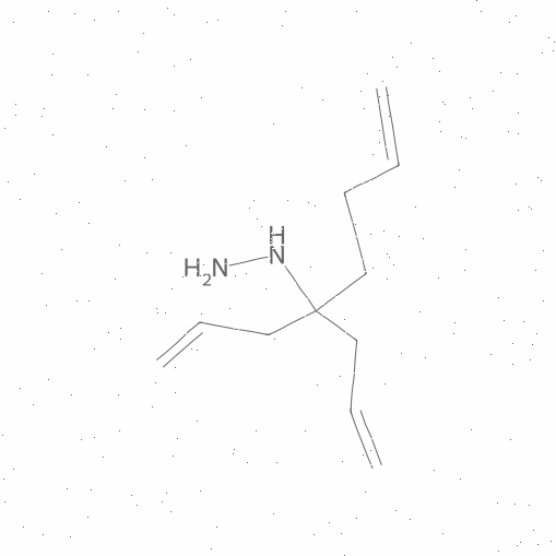 C=CCCC(CC=C)(CC=C)NN